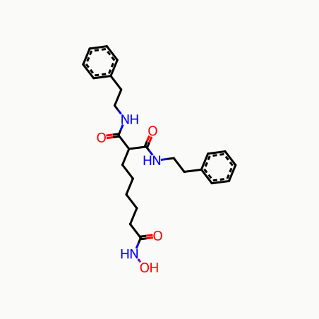 O=C(CCCCCC(C(=O)NCCc1ccccc1)C(=O)NCCc1ccccc1)NO